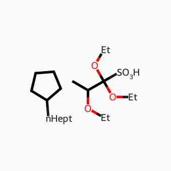 CCCCCCCC1CCCC1.CCOC(C)C(OCC)(OCC)S(=O)(=O)O